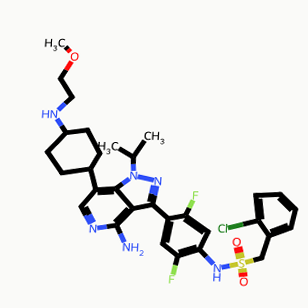 COCCNC1CCC(c2cnc(N)c3c(-c4cc(F)c(NS(=O)(=O)Cc5ccccc5Cl)cc4F)nn(C(C)C)c23)CC1